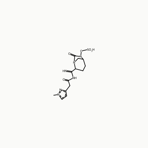 Cn1ccc(CC(=O)NC(=N)C2CCC3CN2C(=O)N3OS(=O)(=O)O)n1